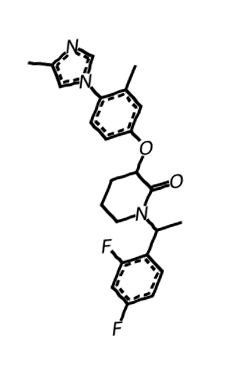 Cc1cn(-c2ccc(OC3CCCN(C(C)c4ccc(F)cc4F)C3=O)cc2C)cn1